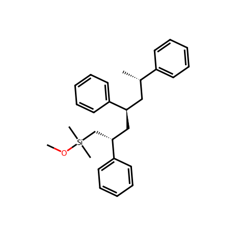 CO[Si](C)(C)C[C@H](C[C@H](C[C@H](C)c1ccccc1)c1ccccc1)c1ccccc1